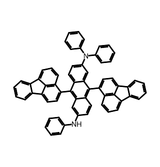 c1ccc(Nc2ccc3c(-c4ccc5c6c(cccc46)-c4ccccc4-5)c4cc(N(c5ccccc5)c5ccccc5)ccc4c(-c4ccc5c6c(cccc46)-c4ccccc4-5)c3c2)cc1